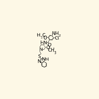 COc1cc(N)c(Cl)cc1C(=O)N[C@H]1CCN(CCSc2nc3ccccc3[nH]2)C[C@H]1OC